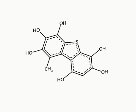 Cc1c(O)c(O)c(O)c2sc3c(O)c(O)cc(O)c3c12